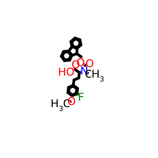 COc1ccc(CCC(C(=O)O)N(C)C(=O)OCC2c3ccccc3-c3ccccc32)cc1F